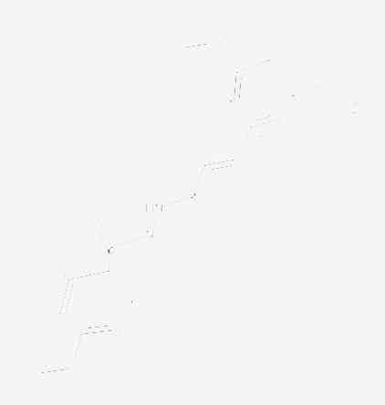 COc1ccc(C(=O)NNC(=O)/C=C/c2cc(OC)c(O)c(OC)c2)cc1